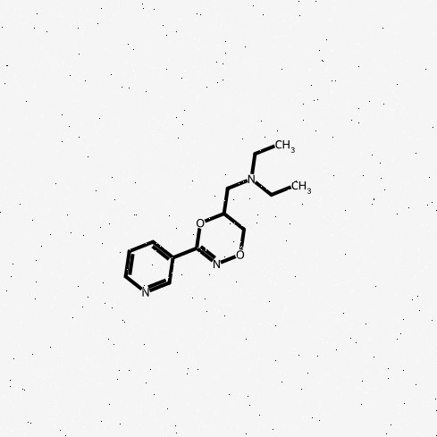 CCN(CC)CC1CON=C(c2cccnc2)O1